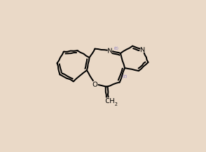 C=C1/C=c2/ccnc/c2=N/CC2=C(C=C=CC=C2)O1